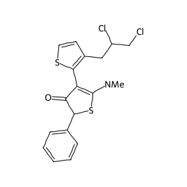 CNC1=C(c2sccc2CC(Cl)CCl)C(=O)C(c2ccccc2)S1